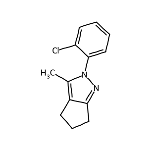 Cc1c2c(nn1-c1ccccc1Cl)CCC2